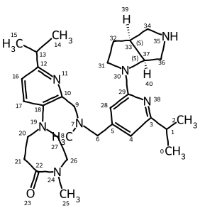 CC(C)c1cc(CN(C)Cc2nc(C(C)C)ccc2N2CCC(=O)N(C)CC2)cc(N2CC[C@H]3CNC[C@H]32)n1